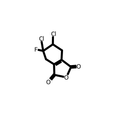 O=C1OC(=O)C2=C1CC(Cl)C(F)(Cl)C2